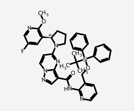 COc1ncc(F)cc1[C@H]1CCCN1c1ccn2ncc(C(=O)Nc3ncccc3CO[Si](c3ccccc3)(c3ccccc3)C(C)(C)C)c2n1